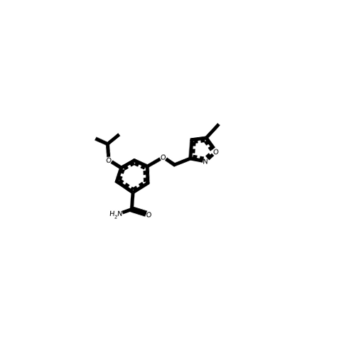 Cc1cc(COc2cc(OC(C)C)cc(C(N)=O)c2)no1